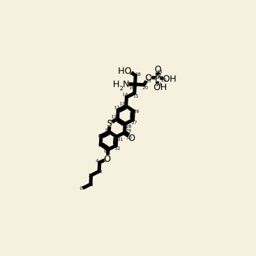 CCCCCOc1ccc2sc3cc(CCC(N)(CO)COP(=O)(O)O)ccc3c(=O)c2c1